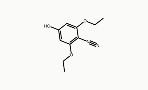 CCOc1cc(O)cc(OCC)c1[N+]#N